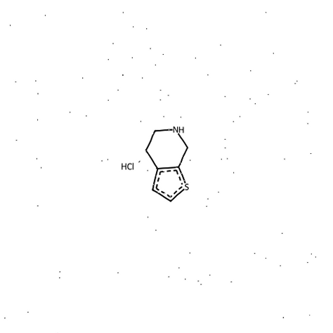 Cl.c1cc2c(s1)CNCC2